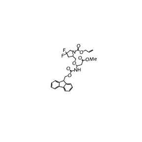 C=CCOC(=O)N1CC(F)(F)CC1COC(CC(=O)OC)NC(=O)OCC1c2ccccc2-c2ccccc21